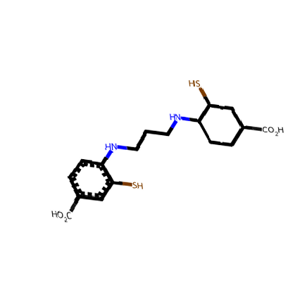 O=C(O)c1ccc(NCCCNC2CCC(C(=O)O)CC2S)c(S)c1